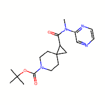 CN(C(=O)C1CC12CCN(C(=O)OC(C)(C)C)CC2)c1cnccn1